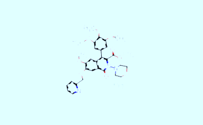 COC(=O)c1c(-c2cc(OC)c(OC)c(OC)c2)c2cc(OC)c(OCc3ccccn3)cc2c(=O)n1N1CCOCC1.Cl